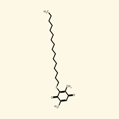 CCCCCCCCCCCCCCCCSC1=C(C)C(=O)[C]=C(C)C1=O